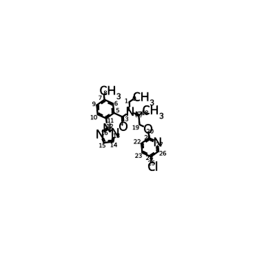 CCN(C(=O)c1cc(C)ccc1-n1nccn1)[C@@H](C)COc1ccc(Cl)cn1